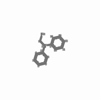 FC[S+](c1ccccc1)c1ccccc1